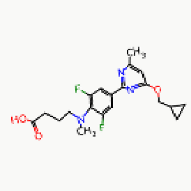 Cc1cc(OCC2CC2)nc(-c2cc(F)c(N(C)CCCC(=O)O)c(F)c2)n1